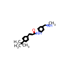 CNCc1ccc(NC(=O)/C=C/c2ccc(C(C)(C)C)cc2)cc1